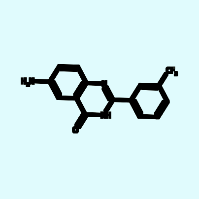 Nc1ccc2nc(-c3cccc(C(F)(F)F)c3)[nH]c(=O)c2c1